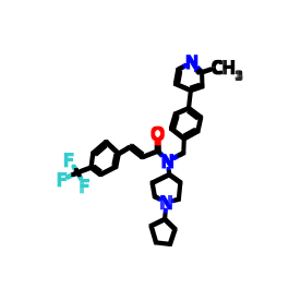 Cc1cc(-c2ccc(CN(C(=O)/C=C/c3ccc(C(F)(F)F)cc3)C3CCN(C4CCCC4)CC3)cc2)ccn1